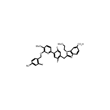 COCCn1c(Cc2cc(F)c(-c3ccc(OC)c(OCc4ccc(C#N)cc4F)n3)cc2F)nc2ccc(C(=O)O)cc21